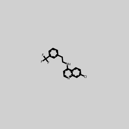 FC(F)(F)c1cccc(CCNc2ccnc3cc(Cl)ccc23)c1